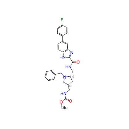 CC(C)(C)OC(=O)NC[C@@H]1C[C@@H](CNC(=O)c2nc3cc(-c4ccc(F)cc4)ccc3[nH]2)N(Cc2ccccc2)C1